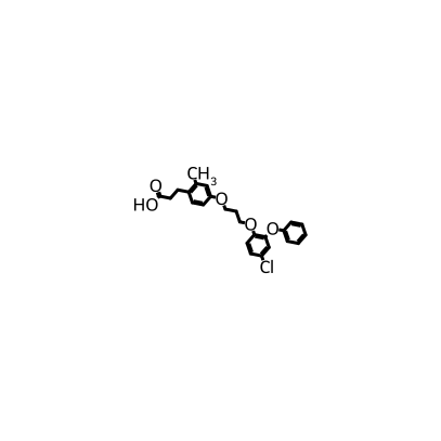 Cc1cc(OCCCOc2ccc(Cl)cc2Oc2ccccc2)ccc1CCC(=O)O